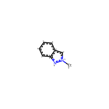 CCn1[c]c2ccccc2n1